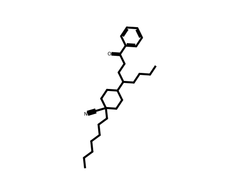 CCCCCCCC1(C#N)CCC(C(CCCC)CCC(=O)c2ccccc2)CC1